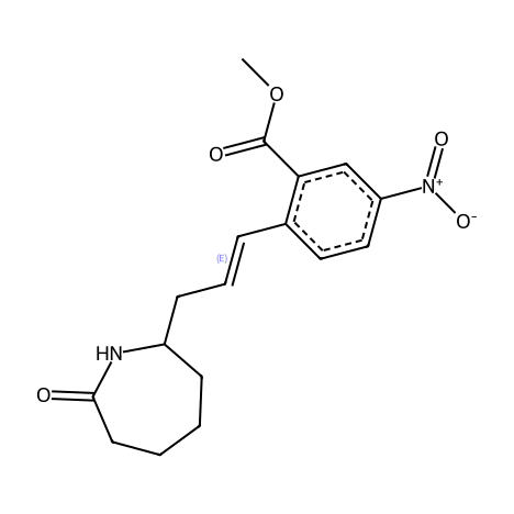 COC(=O)c1cc([N+](=O)[O-])ccc1/C=C/CC1CCCCC(=O)N1